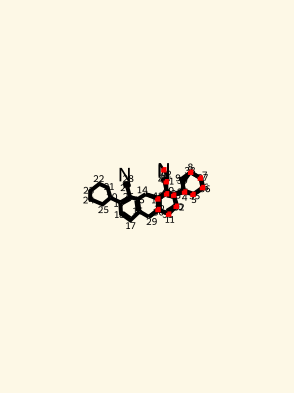 N#Cc1c(C2CCCCC2)ccc2c1C1c3c(ccc(C4CCCCC4)c3C#N)C2c2ccc(C3CCCCC3)c(C#N)c21